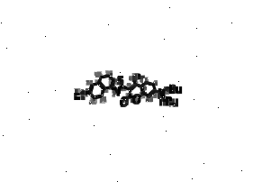 CCCCN(CCCC)c1ccc2c(C(C)C)c(-c3nc4c(ccc5cc(CC)ccc54)s3)c(=O)oc2c1